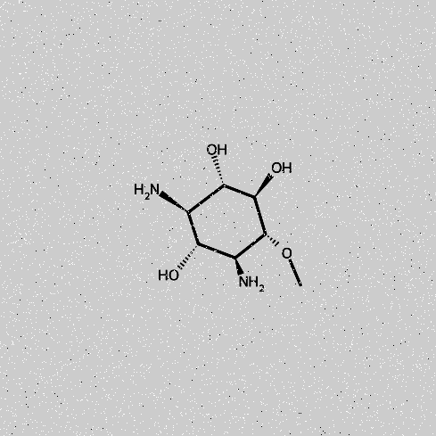 CO[C@@H]1[C@@H](N)[C@H](O)[C@@H](N)[C@H](O)[C@H]1O